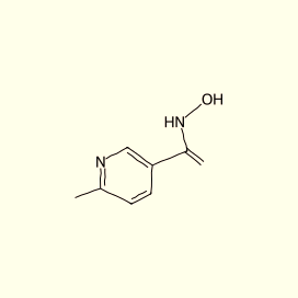 C=C(NO)c1ccc(C)nc1